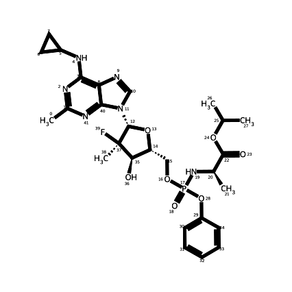 Cc1nc(NC2CC2)c2ncn([C@@H]3O[C@H](COP(=O)(N[C@H](C)C(=O)OC(C)C)Oc4ccccc4)[C@@H](O)[C@@]3(C)F)c2n1